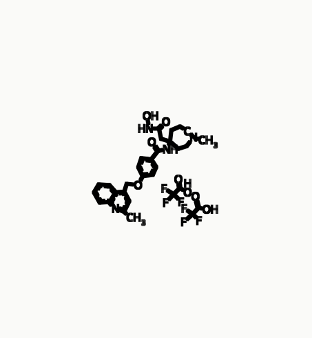 Cc1cc(COc2ccc(C(=O)NC3(CC(=O)NO)CCCN(C)CC3)cc2)c2ccccc2n1.O=C(O)C(F)(F)F.O=C(O)C(F)(F)F